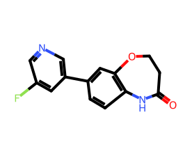 O=C1CCOc2cc(-c3cncc(F)c3)ccc2N1